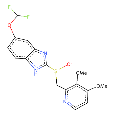 COc1c(O[13CH3])ccnc1C[S+]([O-])c1nc2cc(OC(F)F)ccc2[nH]1